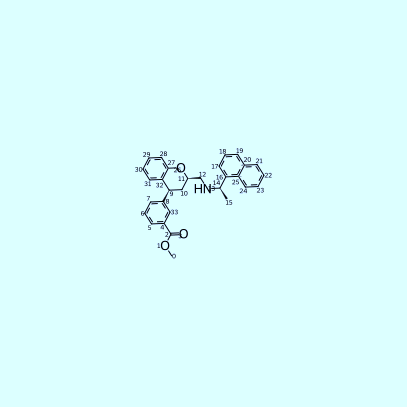 COC(=O)c1cccc([C@@H]2C[C@H](CN[C@H](C)c3cccc4ccccc34)Oc3ccccc32)c1